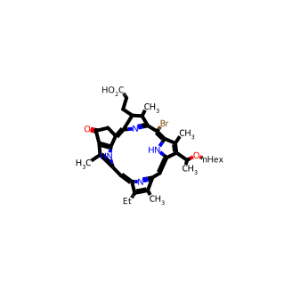 CCCCCCOC(C)c1c(C)c2[nH]c1cc1nc(cc3[nH]c4c(c5nc(c2Br)C(C)C5CCC(=O)O)CC(=O)c4c3C)C(CC)=C1C